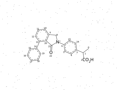 CC(C(=O)O)c1ccc(N2Cc3cccc(-c4ccccc4)c3C2=O)cc1